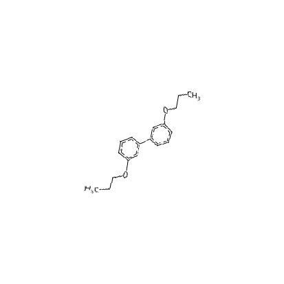 CCCOc1cccc(-c2cccc(OCCC)c2)c1